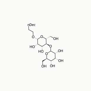 CCCCCCCCCCCCO[C@@H]1O[C@H](CO)[C@@H](OC2O[C@H](CO)[C@@H](O)[C@@H](O)[C@H]2O)[C@H](O)[C@@H]1O